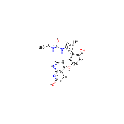 CC(C)(C)CNC(=O)N[C@@]12C[C@H]1[C@H]2c1cc(Oc2ccnc3c2CCC(=O)N3)ccc1O